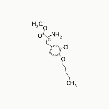 CCCCCOc1ccc(C[C@H](N)C(=O)OC)cc1Cl